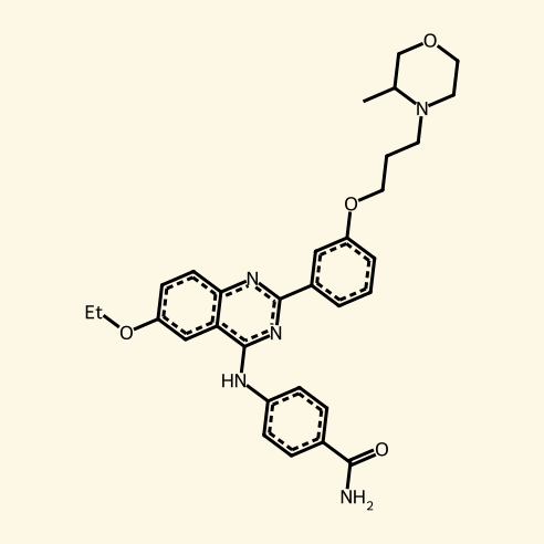 CCOc1ccc2nc(-c3cccc(OCCCN4CCOCC4C)c3)nc(Nc3ccc(C(N)=O)cc3)c2c1